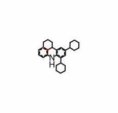 c1ccc(Nc2c(C3CCCCC3)cc(C3CCCCC3)cc2C2CCCCC2)cc1